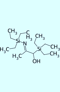 CC[Si](CC)(CC)N=C(C)C(O)[Si](CC)(CC)CC